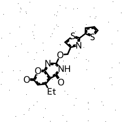 CCc1cc(=O)oc2nc(OCc3csc(-c4cccs4)n3)[nH]c(=O)c12